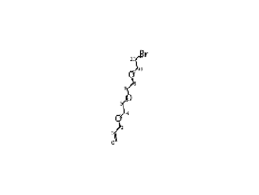 C=CCOCCOCCOCCBr